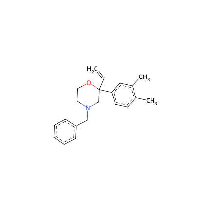 C=CC1(c2ccc(C)c(C)c2)CN(Cc2ccccc2)CCO1